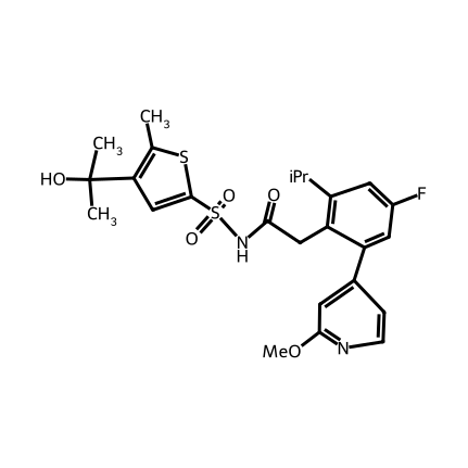 COc1cc(-c2cc(F)cc(C(C)C)c2CC(=O)NS(=O)(=O)c2cc(C(C)(C)O)c(C)s2)ccn1